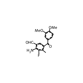 COc1ccc(C(=O)c2cc(C=O)c(N)c(F)c2C)cc1OC